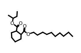 CCCCCCCCCCOC(=O)C1CCCCC1C(=O)OC(C)CC